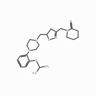 CC(C)Oc1ccccc1N1CCN(CC2CC(CN3CCCCC3=O)=NO2)CC1